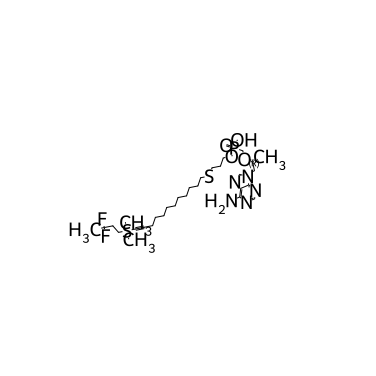 C[C@H](Cn1cnc2c(N)ncnc21)OCP(=O)(O)OCCCSCCCCCCCCCCC#CS(C)(C)CCC(C)(F)F